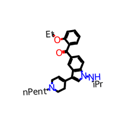 CCCCCN1CC=C(c2cn(NC(C)C)c3ccc(C(=O)c4ccccc4OCC)cc23)CC1